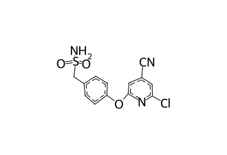 N#Cc1cc(Cl)nc(Oc2ccc(CS(N)(=O)=O)cc2)c1